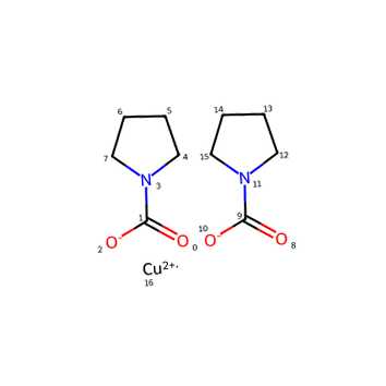 O=C([O-])N1CCCC1.O=C([O-])N1CCCC1.[Cu+2]